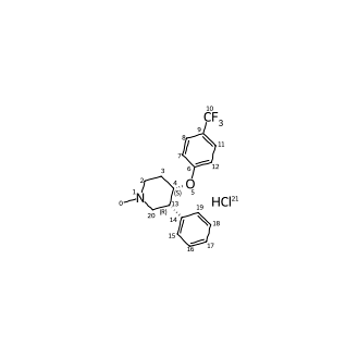 CN1CC[C@H](Oc2ccc(C(F)(F)F)cc2)[C@H](c2ccccc2)C1.Cl